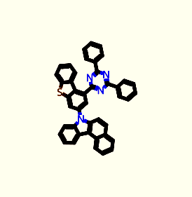 c1ccc(-c2nc(-c3ccccc3)nc(-c3cc(-n4c5ccccc5c5c6ccccc6ccc54)cc4sc5ccccc5c34)n2)cc1